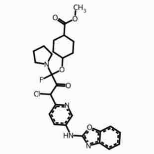 COC(=O)C1CCC(OC(F)(C(=O)C(Cl)c2ccc(Nc3nc4ccccc4o3)cn2)N2CCCC2)CC1